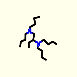 CCCCN(CCCC)CC(CC)N(CCCC)CCCC